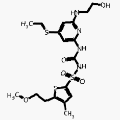 CCSc1cc(NCCO)nc(NC(=O)NS(=O)(=O)c2cc(C)c(CCOC)s2)c1